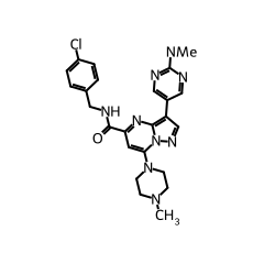 CNc1ncc(-c2cnn3c(N4CCN(C)CC4)cc(C(=O)NCc4ccc(Cl)cc4)nc23)cn1